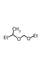 CCOCOC(C)CC